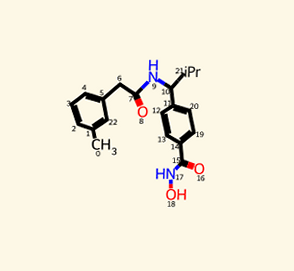 Cc1cccc(CC(=O)NC(c2ccc(C(=O)NO)cc2)C(C)C)c1